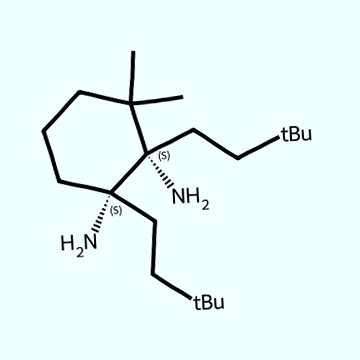 CC(C)(C)CC[C@@]1(N)CCCC(C)(C)[C@@]1(N)CCC(C)(C)C